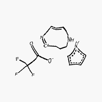 O=C([O-])C(F)(F)F.[C+]1=NC=CNC1.c1cc[nH]c1